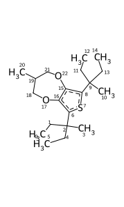 CCC(C)(CC)c1sc(C(C)(CC)CC)c2c1OCC(C)CO2